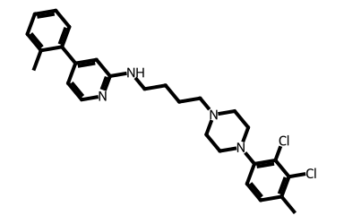 Cc1ccccc1-c1ccnc(NCCCCN2CCN(c3ccc(C)c(Cl)c3Cl)CC2)c1